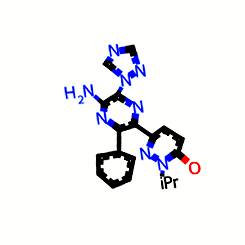 CC(C)n1nc(-c2nc(-n3cncn3)c(N)nc2-c2ccccc2)ccc1=O